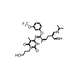 CC(C)=N/C=C(\C=N)C/C=C(C)\C(=N/c1c(C)c(=O)n(CCCO)c(=O)n1C)Oc1cccc(OC(F)(F)F)c1